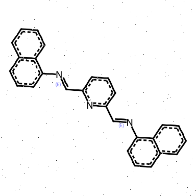 C(=N\c1cccc2ccccc12)/c1cccc(/C=N/c2cccc3ccccc23)n1